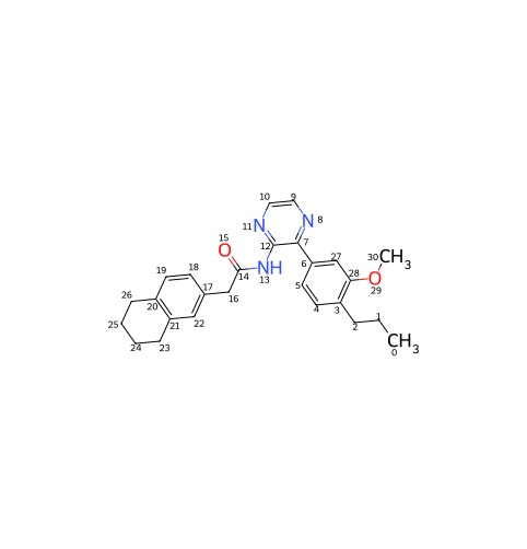 CCCc1ccc(-c2nccnc2NC(=O)Cc2ccc3c(c2)CCCC3)cc1OC